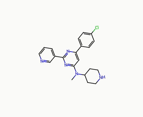 CN(c1cc(-c2ccc(Cl)cc2)nc(-c2cccnc2)n1)C1CCNCC1